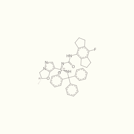 C[C@@H]1Cn2ncc([S@@](=O)(=NC(=O)Nc3c4c(c(F)c5c3CCC5)CCC4)NC(c3ccccc3)(c3ccccc3)c3ccccc3)c2O1